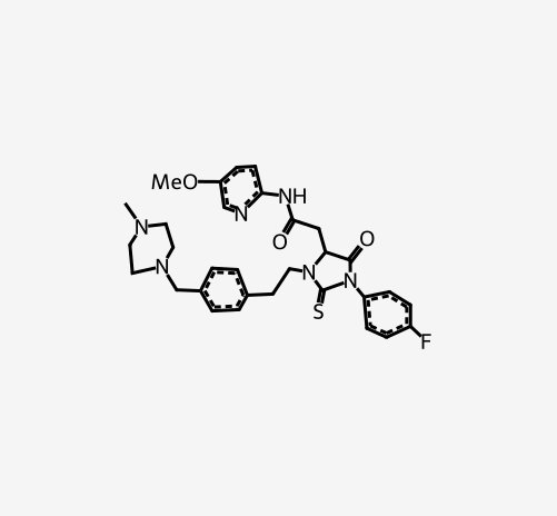 COc1ccc(NC(=O)CC2C(=O)N(c3ccc(F)cc3)C(=S)N2CCc2ccc(CN3CCN(C)CC3)cc2)nc1